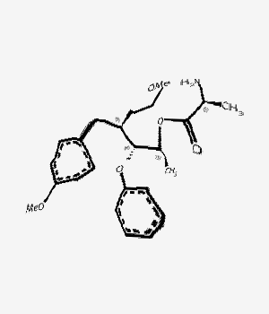 COCC[C@H](Cc1ccc(OC)cc1)[C@@H](Oc1ccccc1)[C@H](C)OC(=O)[C@H](C)N